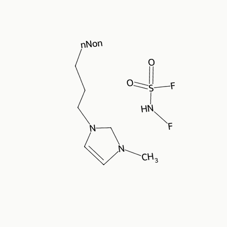 CCCCCCCCCCCCN1C=CN(C)C1.O=S(=O)(F)NF